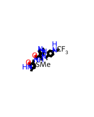 CSc1cc(C)[nH]c(=O)c1CNC(=O)c1c(C)n([C@H](C)C2CCC(NCC(F)(F)F)CC2)c2ncncc12